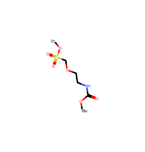 CCOS(=O)(=O)COCCNC(=O)OC(C)(C)C